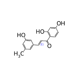 Cc1cc(O)cc(/C=C/C(=O)c2ccc(O)cc2O)c1